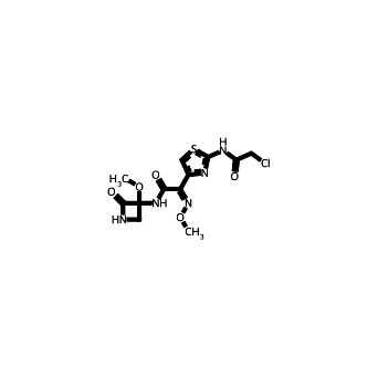 CON=C(C(=O)NC1(OC)CNC1=O)c1csc(NC(=O)CCl)n1